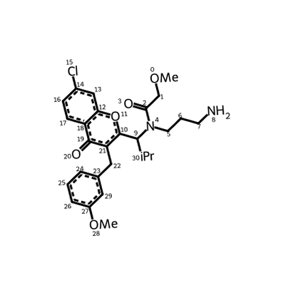 COCC(=O)N(CCCN)C(c1oc2cc(Cl)ccc2c(=O)c1Cc1cccc(OC)c1)C(C)C